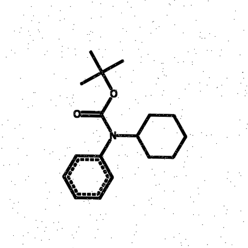 CC(C)(C)OC(=O)N(c1ccccc1)C1CCCCC1